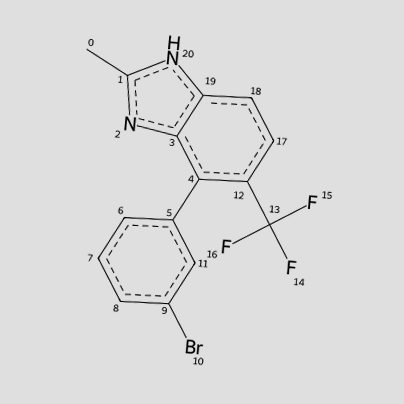 Cc1nc2c(-c3cccc(Br)c3)c(C(F)(F)F)ccc2[nH]1